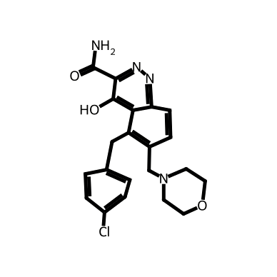 NC(=O)c1nnc2ccc(CN3CCOCC3)c(Cc3ccc(Cl)cc3)c2c1O